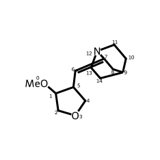 COC1COCC1/C=C1\CC2CCN1CC2